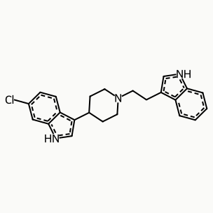 Clc1ccc2c(C3CCN(CCc4c[nH]c5ccccc45)CC3)c[nH]c2c1